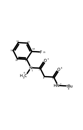 CN(C(=O)CC(=O)NC(C)(C)C)c1ccccc1F